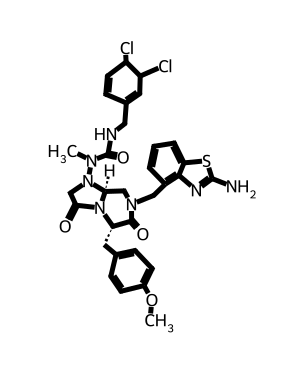 COc1ccc(C[C@H]2C(=O)N(Cc3cccc4sc(N)nc34)C[C@H]3N2C(=O)CN3N(C)C(=O)NCC2=CC(Cl)C(Cl)C=C2)cc1